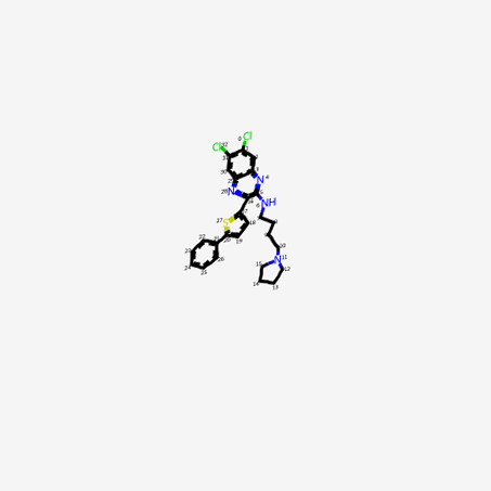 Clc1cc2nc(NCCCCN3CCCC3)c(-c3ccc(-c4ccccc4)s3)nc2cc1Cl